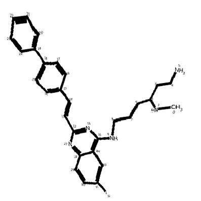 CNC(CCN)CCCNc1nc(/C=C/c2ccc(-c3ccccc3)cc2)nc2ccc(I)cc12